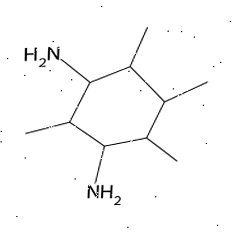 CC1C(C)C(N)C(C)C(N)C1C